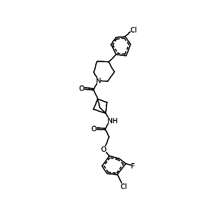 O=C(COc1ccc(Cl)c(F)c1)NC12CC(C(=O)N3CCC(c4ccc(Cl)cc4)CC3)(C1)C2